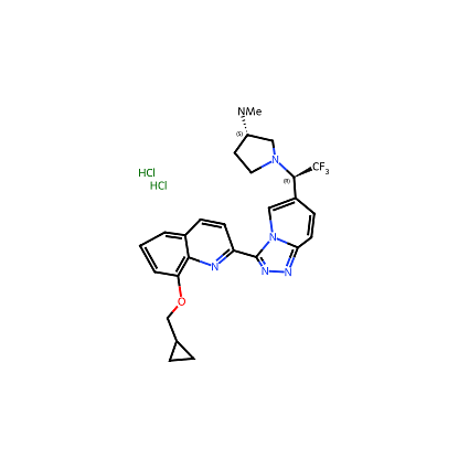 CN[C@H]1CCN([C@H](c2ccc3nnc(-c4ccc5cccc(OCC6CC6)c5n4)n3c2)C(F)(F)F)C1.Cl.Cl